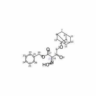 O=C(COC12CC3CC(CC(C3)C1)C2)/C(=N/O)C(=O)OCc1ccccc1